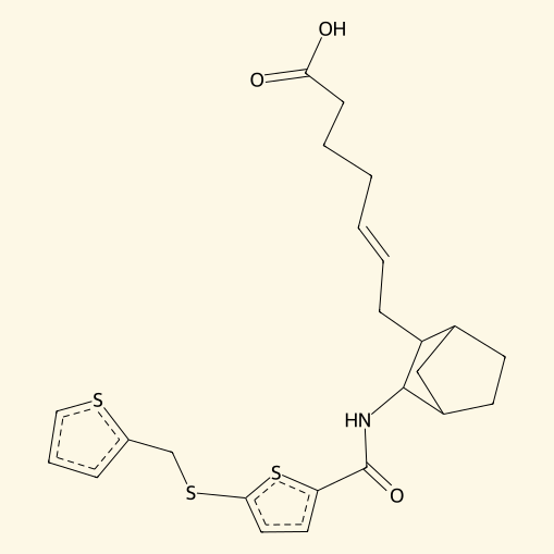 O=C(O)CCC/C=C/CC1C2CCC(C2)C1NC(=O)c1ccc(SCc2cccs2)s1